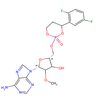 COC1C(O)[C@@H](COP2(=O)OCCC(c3cc(F)ccc3F)O2)O[C@H]1n1cnc2c(N)ncnc21